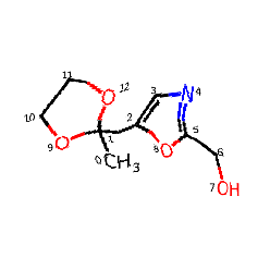 CC1(c2cnc(CO)o2)OCCO1